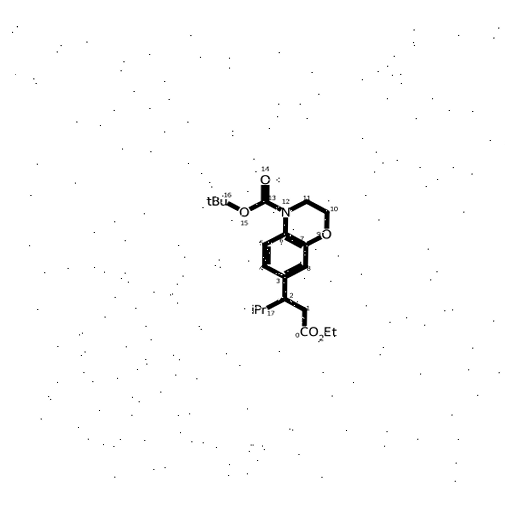 CCOC(=O)CC(c1ccc2c(c1)OCCN2C(=O)OC(C)(C)C)C(C)C